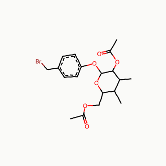 CC(=O)OCC1OC(Oc2ccc(CBr)cc2)C(OC(C)=O)C(C)C1C